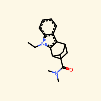 CCn1c2c(c3ccccc31)C1CCC2C(C(=O)N(C)C)C1